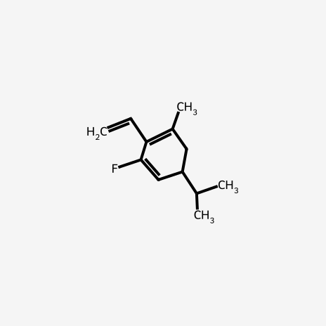 C=CC1=C(C)CC(C(C)C)C=C1F